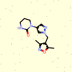 Cc1noc(C)c1Cn1cc(N2CCCNC2=O)cn1